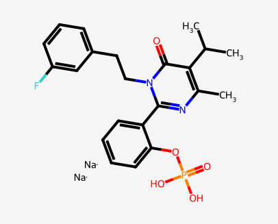 Cc1nc(-c2ccccc2OP(=O)(O)O)n(CCc2cccc(F)c2)c(=O)c1C(C)C.[Na].[Na]